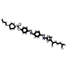 CCCC[C@H]1CC[C@H](C(=O)Oc2ccc(/N=N/c3ccc(/N=N/c4nnc(C(C)CCCC(C)C)s4)cc3)cc2)CC1